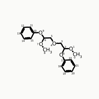 COC(COCC(OC)Oc1ccccc1)Oc1ccccc1